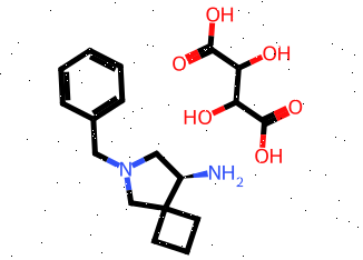 N[C@@H]1CN(Cc2ccccc2)CC12CCC2.O=C(O)C(O)C(O)C(=O)O